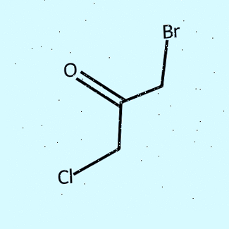 O=C(CCl)CBr